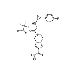 O=C(NO)c1cc2c(s1)CCN(C(=O)CN[C@H]1C[C@@H]1c1ccc(F)cc1)C2.O=C(O)C(F)(F)F